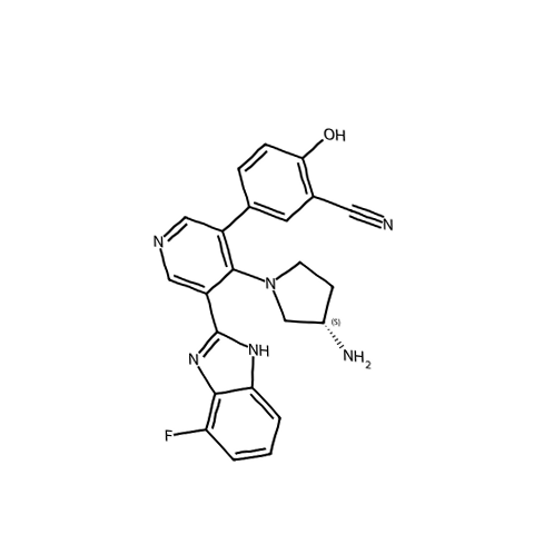 N#Cc1cc(-c2cncc(-c3nc4c(F)cccc4[nH]3)c2N2CC[C@H](N)C2)ccc1O